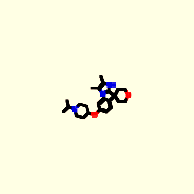 Cc1nc(C2(c3ccc(OC4CCN(C(C)C)CC4)cc3)CCOCC2)[nH]c1C